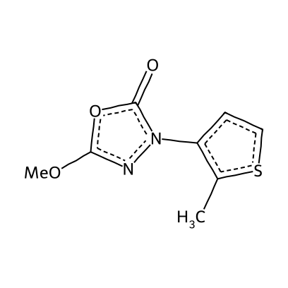 COc1nn(-c2ccsc2C)c(=O)o1